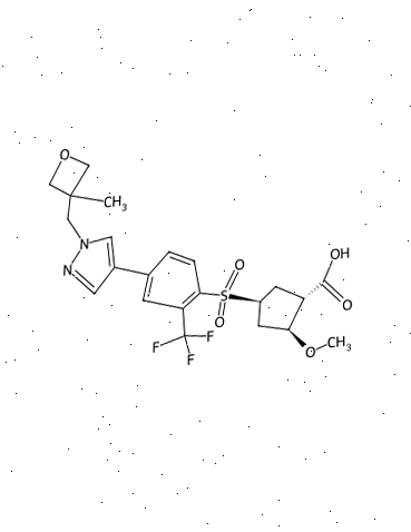 CO[C@H]1C[C@@H](S(=O)(=O)c2ccc(-c3cnn(CC4(C)COC4)c3)cc2C(F)(F)F)C[C@@H]1C(=O)O